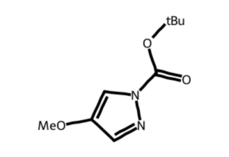 COc1cnn(C(=O)OC(C)(C)C)c1